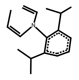 C=CN(/C=C\C)c1c(C(C)C)cccc1C(C)C